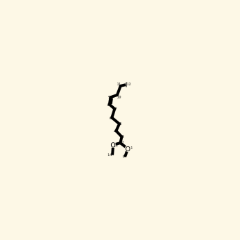 COC(CCCCC/C=C\CCI)OC